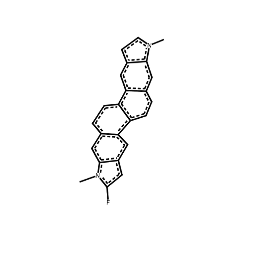 Cn1ccc2cc3c(ccc4c5cc6cc(F)n(C)c6cc5ccc34)cc21